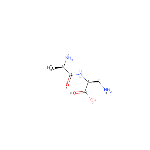 C[C@@H](N)C(=O)N[C@@H](CN)C(=O)O